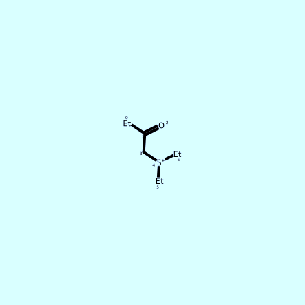 CCC(=O)C[S+](CC)CC